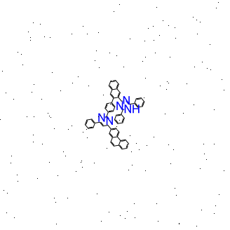 c1ccc(C2=NC(c3cc4ccccc4cc3-c3ccc(-c4nc(-c5ccccc5)cc(-c5ccc6c(ccc7ccccc76)c5)n4)cc3)=NC(c3ccccc3)N2)cc1